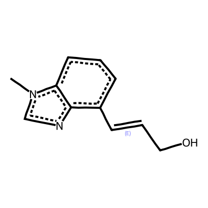 Cn1cnc2c(/C=C/CO)cccc21